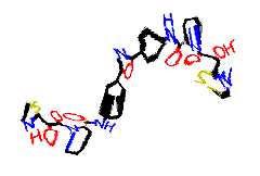 O=C(Nc1ccc(-c2cnc(-c3ccc(NC(=O)[C@@H]4CCCN4C(=O)C(O)c4nccs4)cc3)o2)cc1)[C@@H]1CCCN1C(=O)C(O)c1nccs1